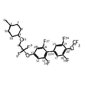 CC1CCC(OCC(F)(F)Oc2cc(F)c(-c3cc(F)c(OC(F)(F)F)c(F)c3)c(F)c2)CC1